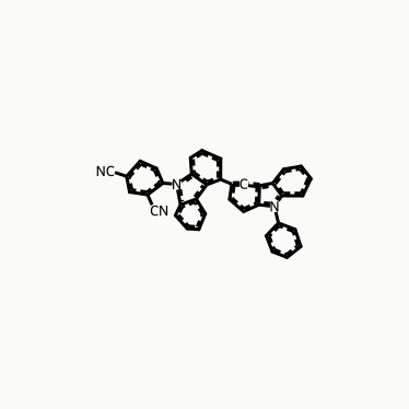 N#Cc1ccc(-n2c3ccccc3c3c(-c4ccc5c(c4)c4ccccc4n5-c4ccccc4)cccc32)c(C#N)c1